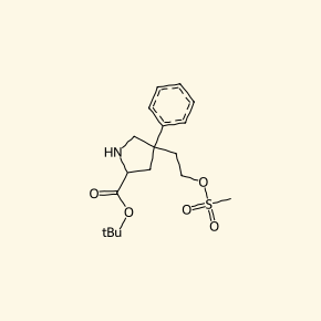 CC(C)(C)OC(=O)C1CC(CCOS(C)(=O)=O)(c2ccccc2)CN1